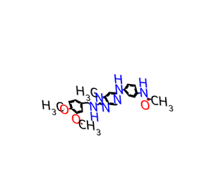 COc1ccc(CNc2nc3cnc(Nc4ccc(NC(C)=O)cc4)cc3n2C)cc1OC